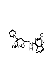 CCCOC(CNc1nc(Cl)nc2ccsc12)CC(=O)N1CCCC1